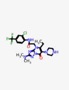 CCc1c(N2CCNCC2)c(=O)n2nc(N(C)C)nc2n1CC(=O)Nc1ccc(C(F)(F)F)cc1Cl